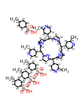 Cc1cc(-c2c3nc(c(-c4ccnc(C)c4)c4ccc([nH]4)c(-c4ccnc(C)c4)c4nc(c(-c5ccnc(C)c5)c5ccc2[nH]5)C=C4)C=C3)ccn1.Cc1ccc(S(=O)(=O)O)cc1.Cc1ccc(S(=O)(=O)O)cc1.Cc1ccc(S(=O)(=O)O)cc1.Cc1ccc(S(=O)(=O)O)cc1